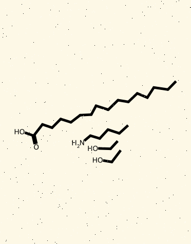 CCCCCCCCCCCCCCCC(=O)O.CCCCCN.CCO.CCO